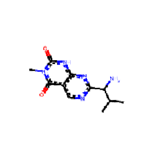 CC(C)C(N)c1ncc2c(=O)n(C)c(=O)[nH]c2n1